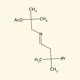 CC(=O)OC(C)(C)C/N=C/CC(C)(C)C(C)C